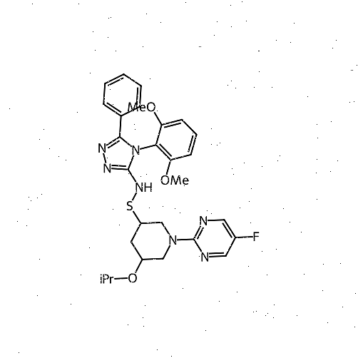 COc1cccc(OC)c1-n1c(NSC2CC(OC(C)C)CN(c3ncc(F)cn3)C2)nnc1-c1ccccc1